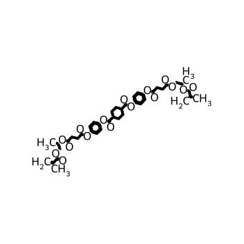 C=C(C)C(=O)OCC(C)OC(=O)CCC(=O)Oc1ccc(OC(=O)C2CCC(C(=O)Oc3ccc(OC(=O)CCC(=O)OCC(C)OC(=O)C(=C)C)cc3)CC2)cc1